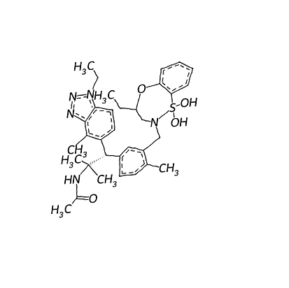 CCC1CN(Cc2cc([C@@H](c3ccc4c(nnn4CC)c3C)C(C)(C)NC(C)=O)ccc2C)S(O)(O)c2ccccc2O1